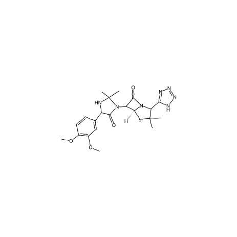 COc1ccc(C2NC(C)(C)N(C3C(=O)N4C(c5nnn[nH]5)C(C)(C)S[C@@H]34)C2=O)cc1OC